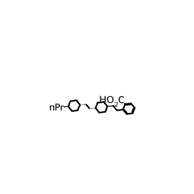 CCC[C@H]1CC[C@H](CC[C@H]2CC[C@H](CCc3ccccc3C(=O)O)CC2)CC1